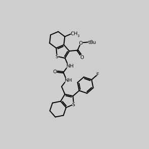 CC1CCCc2sc(NC(=O)NCc3c(-c4ccc(F)cc4)sc4c3CCCC4)c(C(=O)OC(C)(C)C)c21